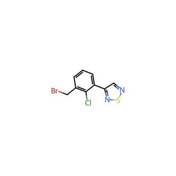 Clc1c(CBr)cccc1-c1cnsn1